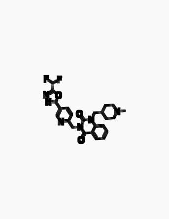 CN1CCC(Cn2c(=O)n(Cc3ccc(-c4nnc(C(F)F)o4)cn3)c(=O)c3ccccc32)CC1